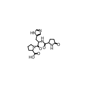 O=C1CCC(C(=O)NC(Cc2cnc[nH]2)C(=O)N2CCCC2C(=O)O)N1